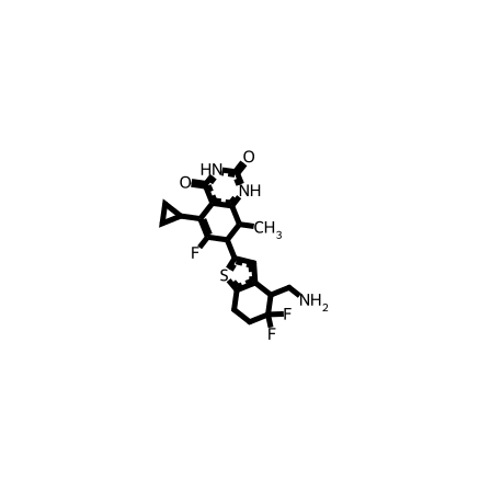 CC1c2[nH]c(=O)[nH]c(=O)c2C(C2CC2)=C(F)C1c1cc2c(s1)CCC(F)(F)C2CN